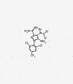 CC[S+]([O-])N(C(C)=O)c1c(C(=N)N)nn(-c2c(Cl)cc(C(F)(F)F)cc2Cl)c1N